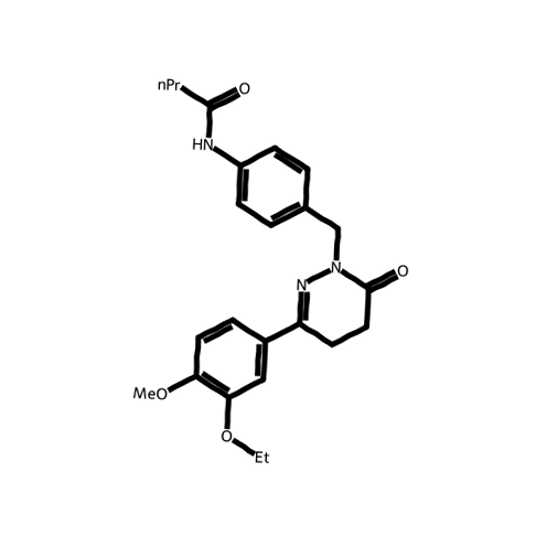 CCCC(=O)Nc1ccc(CN2N=C(c3ccc(OC)c(OCC)c3)CCC2=O)cc1